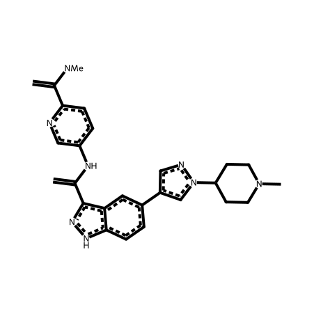 C=C(NC)c1ccc(NC(=C)c2n[nH]c3ccc(-c4cnn(C5CCN(C)CC5)c4)cc23)cn1